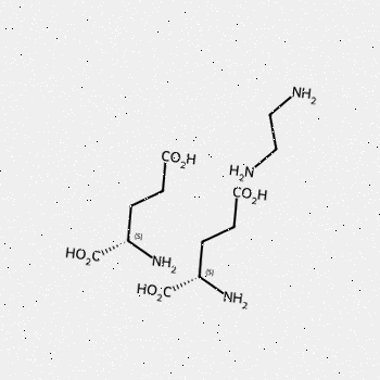 NCCN.N[C@@H](CCC(=O)O)C(=O)O.N[C@@H](CCC(=O)O)C(=O)O